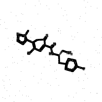 Cn1nccc1C1=C(Cl)C=C(C(=O)N[C@H](CN)Cc2ccc(F)cc2)C(=S)C1